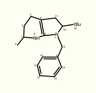 CC1CCC2=C(N1)N(Cc1ccccc1)C(C(C)(C)C)C2